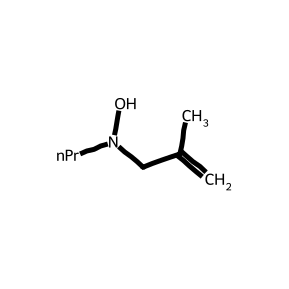 C=C(C)CN(O)CCC